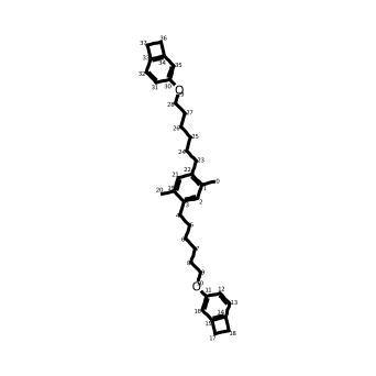 Cc1cc(CCCCCCOc2ccc3c(c2)CC3)c(C)cc1CCCCCCOc1ccc2c(c1)CC2